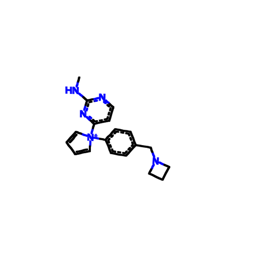 CNc1nccc([N+]2(c3ccc(CN4CCC4)cc3)C=CC=C2)n1